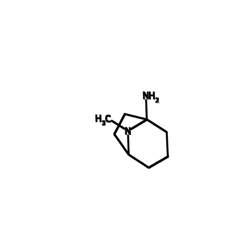 CN1C2CCCC1(N)CC2